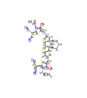 CCn1c(=C(C#N)C#N)s/c(=C\c2cc3c(s2)-c2sc4cc(/C=c5\sc(=C(C#N)C#N)n(CC)c5=O)sc4c2C32CCCCC2)c1=O